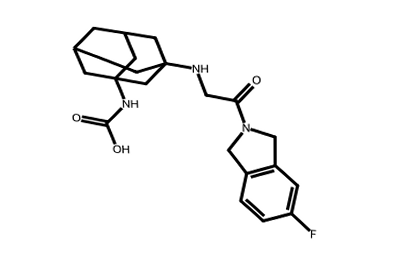 O=C(O)NC12CC3CC(CC(NCC(=O)N4Cc5ccc(F)cc5C4)(C3)C1)C2